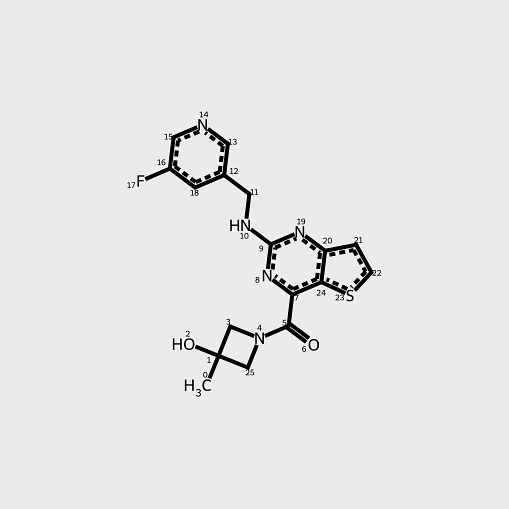 CC1(O)CN(C(=O)c2nc(NCc3cncc(F)c3)nc3ccsc23)C1